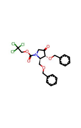 O=C1CN(C(=O)OCC(Cl)(Cl)Cl)[C@H](COCc2ccccc2)[C@H]1OCc1ccccc1